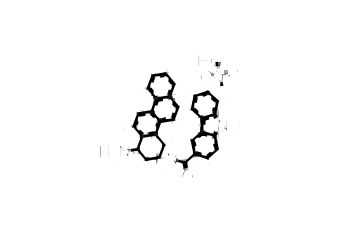 CS(=O)(=O)O.NC(=O)c1ccc2[nH]c3ccccc3c2c1.NC1CCCc2c1ccc1c2ccc2ccccc21